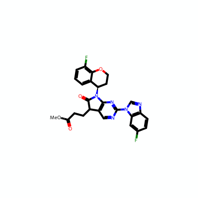 COC(=O)CCC1C(=O)N([C@@H]2CCOc3c(F)cccc32)c2nc(-n3cnc4ccc(F)cc43)ncc21